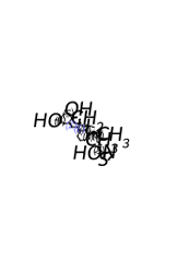 C=C1/C(=C\C=C2/CCC[C@]3(C)[C@@H]([C@H](C)CC[C@H](O)c4nccs4)CC[C@@H]23)C[C@@H](O)C[C@@H]1O